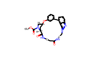 CC(C)(C)OC(=O)N1C[C@@H]2C[C@H]1C(=O)NCCC(=O)NCCn1cc3c(cccc3n1)-c1cccc(c1)O2